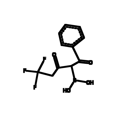 O=C(CC(F)(F)F)C(B(O)O)C(=O)c1ccccc1